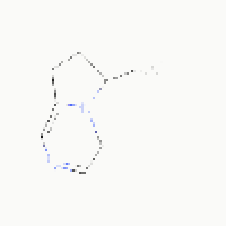 O=C(O)C1CCC2=CN=CCN21